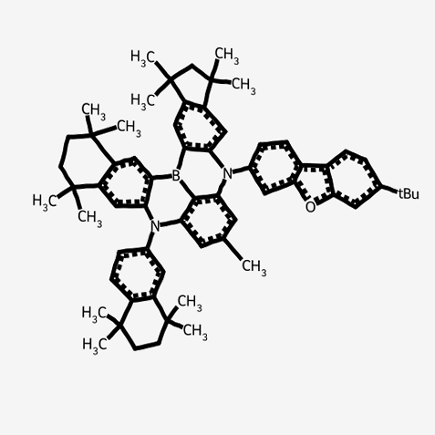 Cc1cc2c3c(c1)N(c1ccc4c(c1)oc1cc(C(C)(C)C)ccc14)c1cc4c(cc1B3c1cc3c(cc1N2c1ccc2c(c1)C(C)(C)CCC2(C)C)C(C)(C)CCC3(C)C)C(C)(C)CC4(C)C